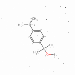 CCO[Si](C)(C)c1ccc([SiH](C)C)cc1